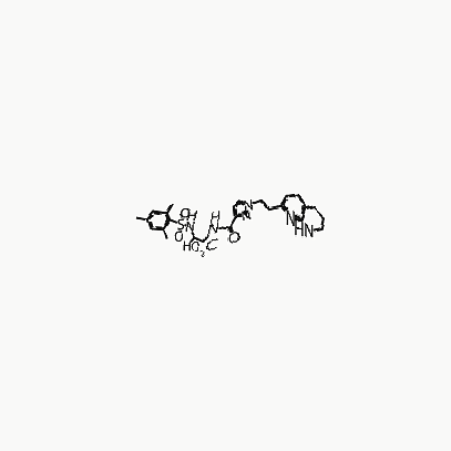 Cc1cc(C)c(S(=O)(=O)NC(CNC(=O)c2ccn(CCc3ccc4c(n3)NCCC4)n2)C(=O)O)c(C)c1